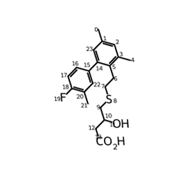 Cc1cc(C)c(CCSCC(O)CC(=O)O)c(-c2ccc(F)c(C)c2)c1